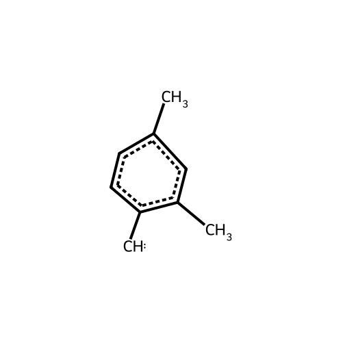 [CH]c1ccc(C)cc1C